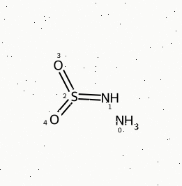 N.N=S(=O)=O